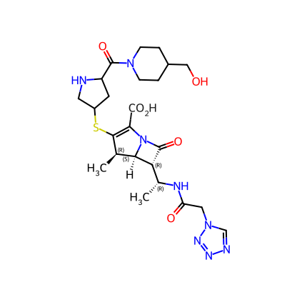 C[C@@H](NC(=O)Cn1cnnn1)[C@H]1C(=O)N2C(C(=O)O)=C(SC3CNC(C(=O)N4CCC(CO)CC4)C3)[C@H](C)[C@H]12